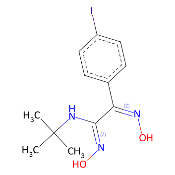 CC(C)(C)NC(=N\O)/C(=N\O)c1ccc(I)cc1